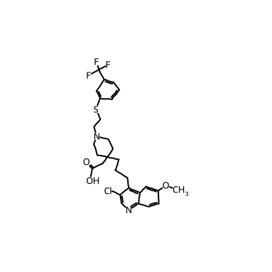 COc1ccc2ncc(Cl)c(CCCC3(CC(=O)O)CCN(CCSc4cccc(C(F)(F)F)c4)CC3)c2c1